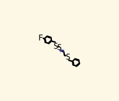 Fc1ccc(CSS/C=C/CSCc2ccccc2)cc1